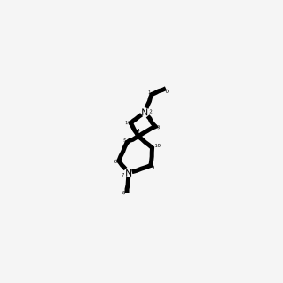 CCN1CC2(CCN(C)CC2)C1